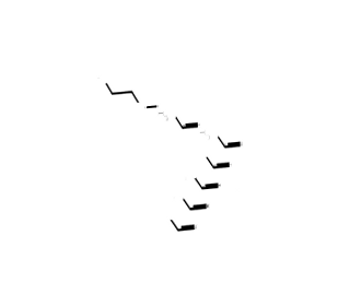 C=CC.C=CC.C=CC.C=CC.C=CC.C=CC.COCCO